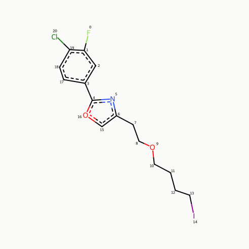 Fc1cc(-c2nc(CCOCCCCI)co2)ccc1Cl